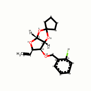 C=C[C@H]1O[C@@H]2OC3(CCCC3)O[C@@H]2[C@H]1OCc1ccccc1F